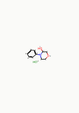 Cl.OC1COCCN1c1ccccc1